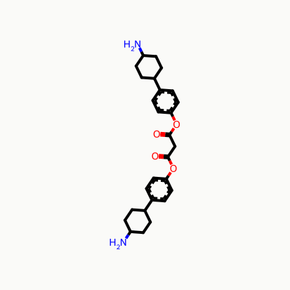 NC1CCC(c2ccc(OC(=O)CC(=O)Oc3ccc(C4CCC(N)CC4)cc3)cc2)CC1